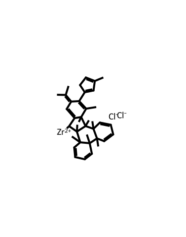 CC1=CCC(C2=C(C)C3(C)C(=CC2=C(C)C)[CH]([Zr+2])C2(C)C4(C)C=CC=CC4(C)C4(C)C=CC=CC4(C)C32C)=C1.[Cl-].[Cl-]